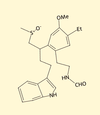 CCc1cc(CCNC=O)c(C(CCc2c[nH]c3ccccc23)C[S+](C)[O-])cc1OC